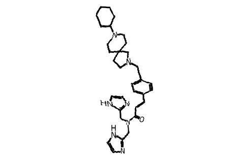 O=C(C=Cc1ccc(CN2CCC3(CCN(C4CCCCC4)CC3)C2)cc1)N(Cc1ncc[nH]1)Cc1ncc[nH]1